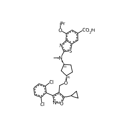 CC(C)Oc1cc(C(=O)O)cc2sc(N(C)[C@H]3CC[C@@H](OCc4c(-c5c(Cl)cccc5Cl)noc4C4CC4)C3)nc12